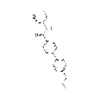 CC=C(C=O)NC(=O)c1ccc(-c2ccc(CCC)cc2)cc1